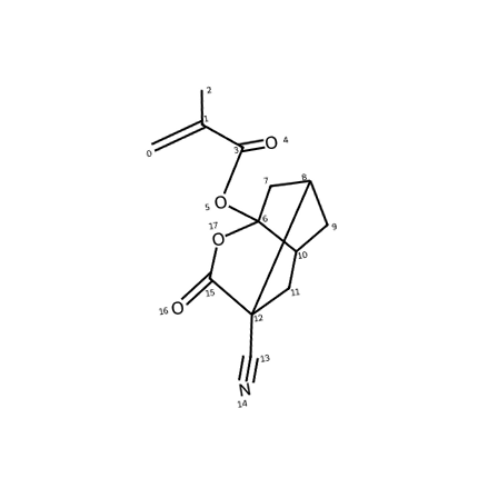 C=C(C)C(=O)OC12CC3CC1CC3(C#N)C(=O)O2